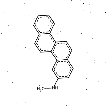 CNc1ccc2ccc3c4ccccc4ccc3c2c1